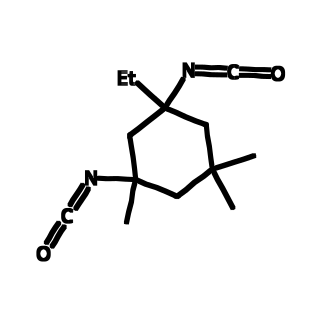 CCC1(N=C=O)CC(C)(C)CC(C)(N=C=O)C1